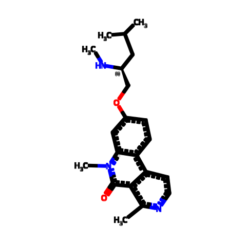 CN[C@H](COc1ccc2c3ccnc(C)c3c(=O)n(C)c2c1)CC(C)C